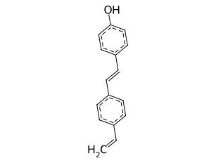 C=Cc1ccc(C=Cc2ccc(O)cc2)cc1